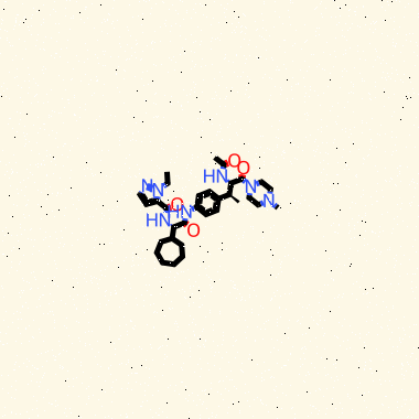 CCn1nccc1C(=O)N[C@H](C(=O)Nc1ccc([C@H](C)[C@@H](NC(C)=O)C(=O)N2CCN(C)CC2)cc1)C1CCCCCC1